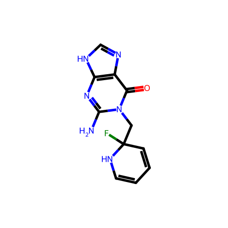 Nc1nc2[nH]cnc2c(=O)n1CC1(F)C=CC=CN1